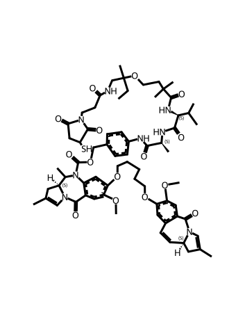 CCC(C)(CNC(=O)CCN1C(=O)CC(S)C1=O)OCCC(C)(C)C(=O)N[C@H](C(=O)N[C@@H](C)C(=O)Nc1ccc(COC(=O)N2c3cc(OCCCCCOc4cc5c(cc4OC)C(=O)N4C=C(C)C[C@H]4C=C5)c(OC)cc3C(=O)N3C=C(C)C[C@H]3C2C)cc1)C(C)C